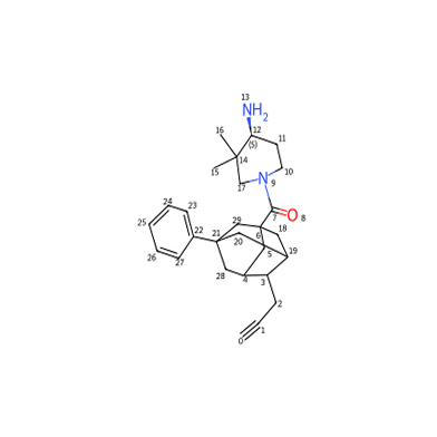 C#CCC1C2CC3(C(=O)N4CC[C@H](N)C(C)(C)C4)CC1CC(c1ccccc1)(C2)C3